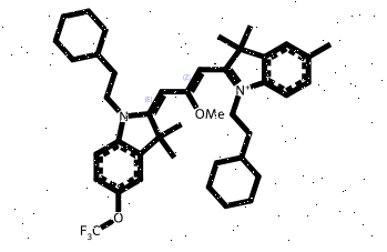 COC(=C\C1=[N+](CCC2CCCCC2)c2ccc(C)cc2C1(C)C)/C=C1/N(CCC2CCCCC2)c2ccc(OC(F)(F)F)cc2C1(C)C